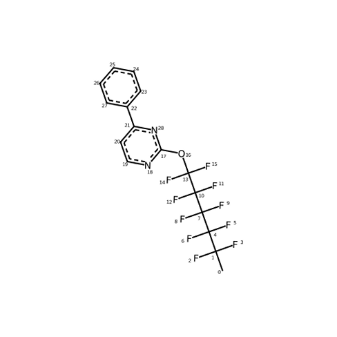 CC(F)(F)C(F)(F)C(F)(F)C(F)(F)C(F)(F)Oc1nccc(-c2ccccc2)n1